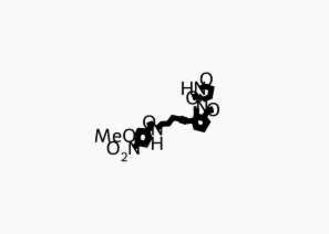 COc1cc(C(=O)NCCCC#Cc2cccc3c2CN(C2CCC(=O)NC2=O)C3=O)ccc1[N+](=O)[O-]